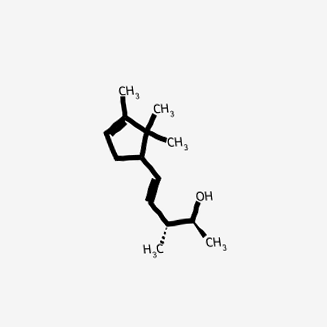 CC1=CCC(C=C[C@@H](C)[C@H](C)O)C1(C)C